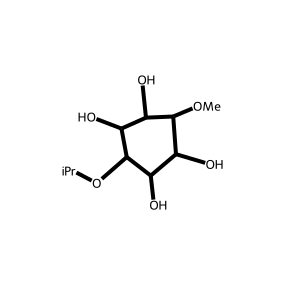 COC1C(O)C(O)C(OC(C)C)C(O)C1O